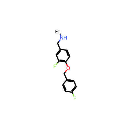 CCNCc1ccc(OCc2ccc(F)cc2)c(F)c1